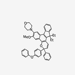 CCC1(CC)c2ccccc2-c2c1c1c(c3cc(OC)c(N4CCOCC4)cc23)OC(c2ccccc2)(c2ccc(Oc3ccccc3)cc2)C=C1